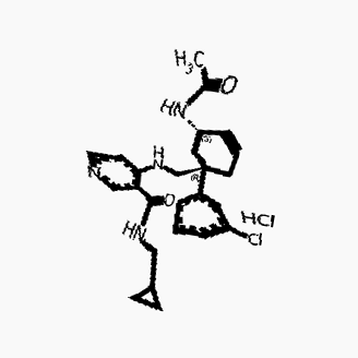 CC(=O)N[C@@H]1C#CC[C@](CNc2ccncc2C(=O)NCC2CC2)(c2cccc(Cl)c2)C1.Cl